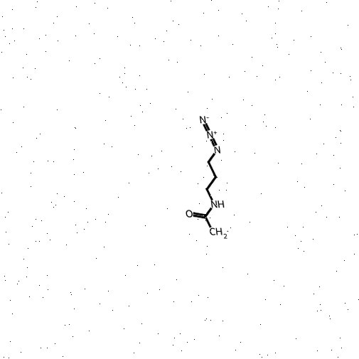 [CH2]C(=O)NCCCN=[N+]=[N-]